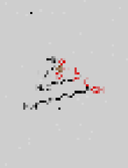 CCCCCCCCCC(=O)O.CCCCC[O].CCS(=O)(=O)O.[NaH]